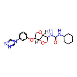 O=C(NC1CCCCC1)N[C@H]1CO[C@H]2[C@@H]1OC[C@@H]2Oc1cccc(-n2cnnc2)c1